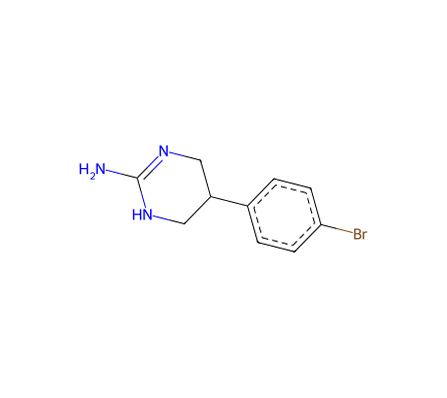 NC1=NCC(c2ccc(Br)cc2)CN1